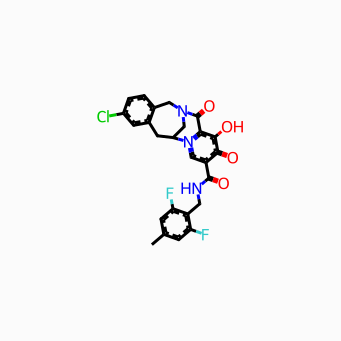 Cc1cc(F)c(CNC(=O)c2cn3c(c(O)c2=O)C(=O)N2Cc4ccc(Cl)cc4CC3C2)c(F)c1